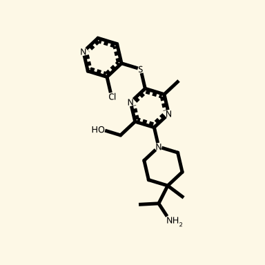 Cc1nc(N2CCC(C)(C(C)N)CC2)c(CO)nc1Sc1ccncc1Cl